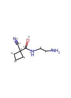 N#CC1(C(=O)NCCN)CCC1